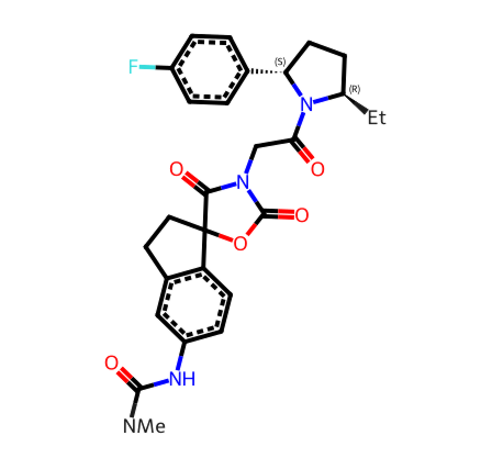 CC[C@@H]1CC[C@@H](c2ccc(F)cc2)N1C(=O)CN1C(=O)OC2(CCc3cc(NC(=O)NC)ccc32)C1=O